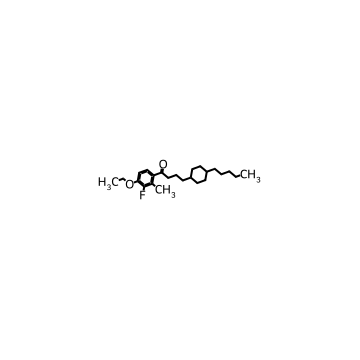 CCCCCC1CCC(CCCC(=O)c2ccc(OCC)c(F)c2C)CC1